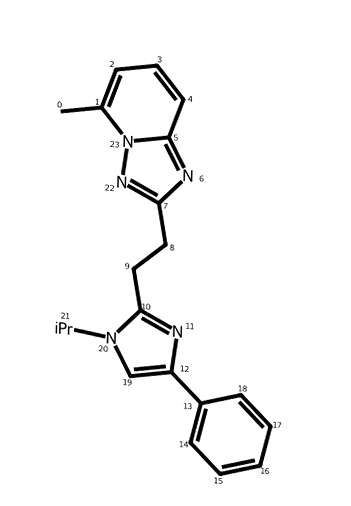 Cc1cccc2nc(CCc3nc(-c4ccccc4)cn3C(C)C)nn12